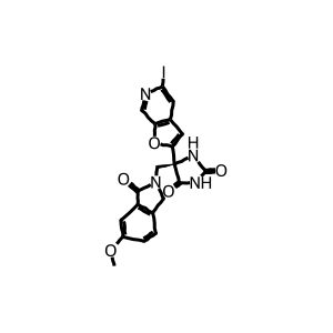 COc1ccc2c(c1)C(=O)N(C[C@@]1(c3cc4cc(I)ncc4o3)NC(=O)NC1=O)C2